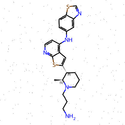 C[C@H]1[C@H](c2cc3c(Nc4ccc5scnc5c4)ccnc3s2)CCCN1CCCN